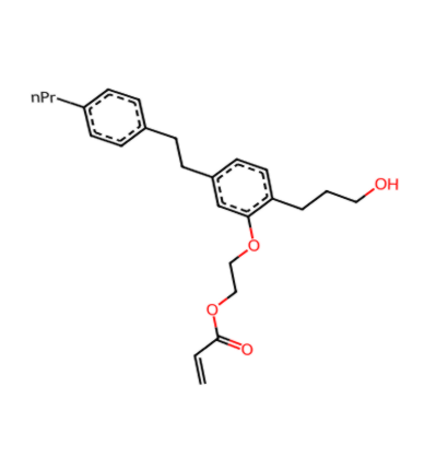 C=CC(=O)OCCOc1cc(CCc2ccc(CCC)cc2)ccc1CCCO